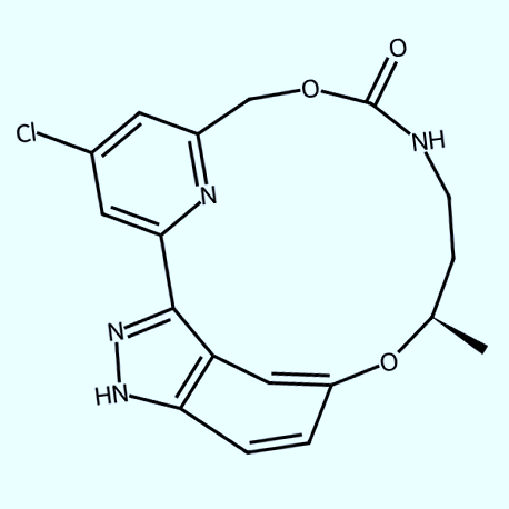 C[C@@H]1CCNC(=O)OCc2cc(Cl)cc(n2)-c2n[nH]c3ccc(cc23)O1